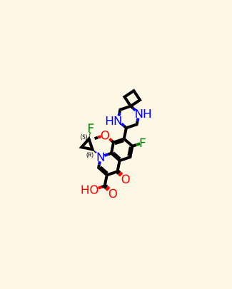 COc1c(C2CNC3(CCC3)CN2)c(F)cc2c(=O)c(C(=O)O)cn([C@@H]3C[C@@H]3F)c12